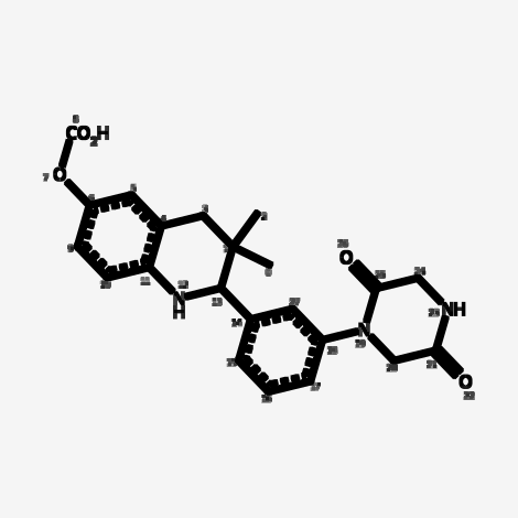 CC1(C)Cc2cc(OC(=O)O)ccc2NC1c1cccc(N2CC(=O)NCC2=O)c1